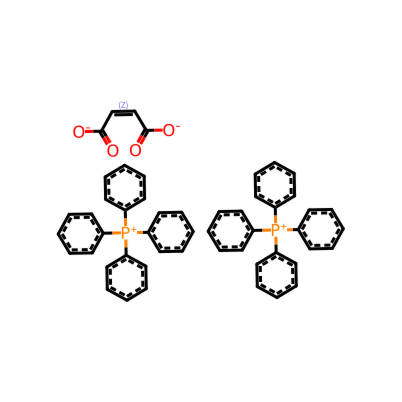 O=C([O-])/C=C\C(=O)[O-].c1ccc([P+](c2ccccc2)(c2ccccc2)c2ccccc2)cc1.c1ccc([P+](c2ccccc2)(c2ccccc2)c2ccccc2)cc1